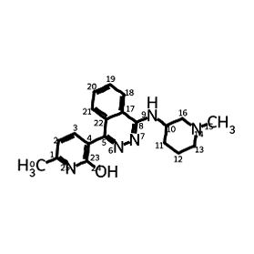 Cc1ccc(-c2nnc(NC3CCCN(C)C3)c3ccccc23)c(O)n1